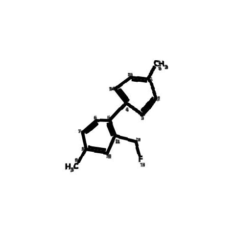 Cc1ccc(-c2ccc(C)cc2CF)cc1